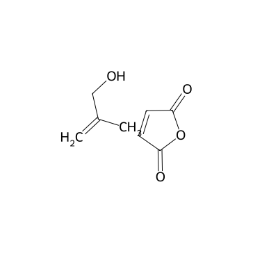 C=C(C)CO.O=C1C=CC(=O)O1